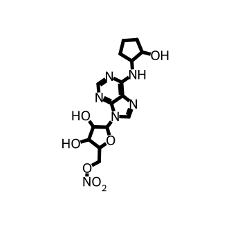 O=[N+]([O-])OCC1OC(n2cnc3c(NC4CCCC4O)ncnc32)C(O)C1O